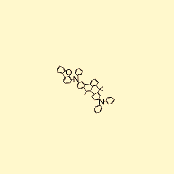 Cc1c2c3c(cccc3c3cc(N(c4ccccc4)c4cccc5c4oc4ccccc45)ccc13)C(C)(C)c1cc(N(c3ccccc3)c3ccccc3)ccc1-2